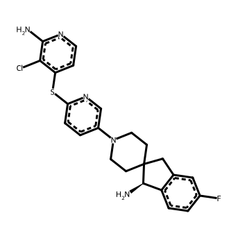 Nc1nccc(Sc2ccc(N3CCC4(CC3)Cc3cc(F)ccc3[C@H]4N)cn2)c1Cl